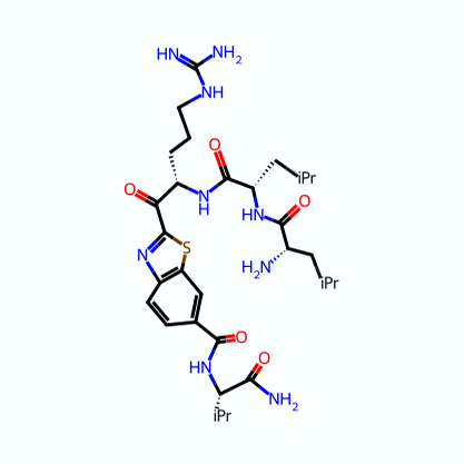 CC(C)C[C@H](NC(=O)[C@@H](N)CC(C)C)C(=O)N[C@@H](CCCNC(=N)N)C(=O)c1nc2ccc(C(=O)N[C@H](C(N)=O)C(C)C)cc2s1